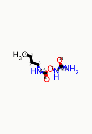 CCCCNC(=O)ONC(N)=O